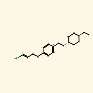 CC[C@H]1CC[C@H](CCc2ccc(CC/C=C/F)cc2)CC1